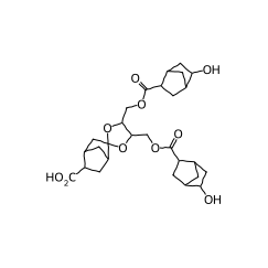 O=C(O)C1CC2CC1CC21OC(COC(=O)C2CC3CC2CC3O)C(COC(=O)C2CC3CC2CC3O)O1